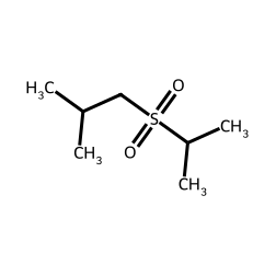 CC(C)CS(=O)(=O)C(C)C